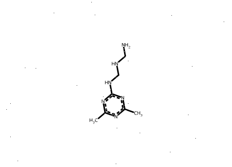 Cc1nc(C)nc(NCNCN)n1